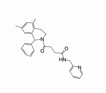 Cc1cc(C)c2c(c1)C(c1ccccc1)N(C(=O)CCC(=O)NCc1ccccn1)CC2